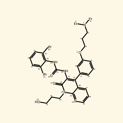 CCN(CC)CCCOc1cccc(-c2c(NC(=O)Nc3c(C(C)C)cccc3C(C)C)c(=O)n(CCCO)c3ncccc23)c1